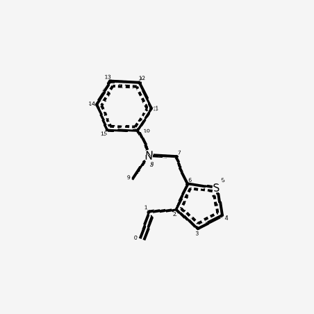 C=Cc1ccsc1CN(C)c1ccccc1